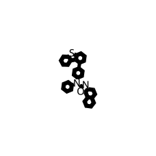 c1ccc(N(c2ccc(-c3cccc4sc5ccccc5c34)cc2)c2nc3ccc4ccccc4c3o2)cc1